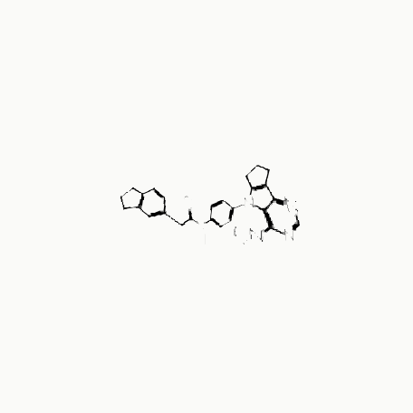 Nc1ncnc2c3c(n(-c4ccc(NC(=O)Cc5ccc6c(c5)CCC6)cc4)c12)CCC3